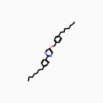 CCCCCCCc1ccc(COc2cnc(-c3ccc(CCCCCCC)cc3)nc2)cc1